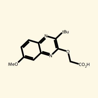 COc1ccc2nc(C(C)(C)C)c(OCC(=O)O)nc2c1